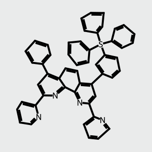 c1ccc(-c2cc(-c3ccccn3)nc3c2ccc2c(-c4cccc(S(c5ccccc5)(c5ccccc5)c5ccccc5)c4)cc(-c4ccccn4)nc23)cc1